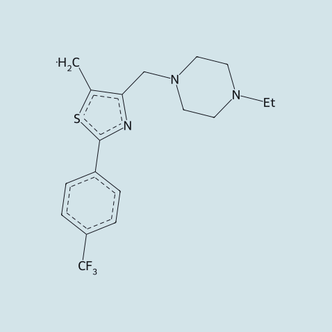 [CH2]c1sc(-c2ccc(C(F)(F)F)cc2)nc1CN1CCN(CC)CC1